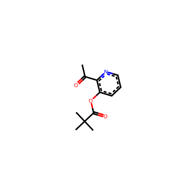 CC(=O)c1ncccc1OC(=O)C(C)(C)C